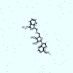 Cc1nn(CSCC2OC(n3cnc4c(N)ncnc43)C(O)C2O)c2ncccc12